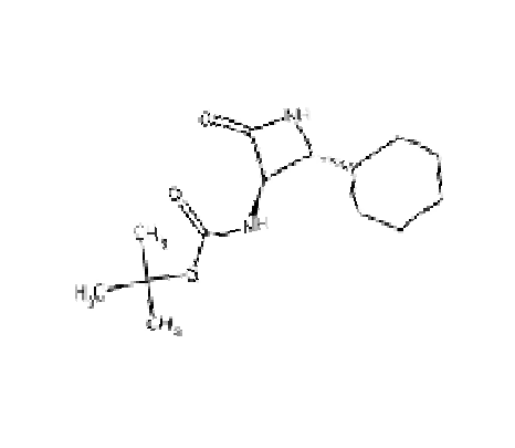 CC(C)(C)OC(=O)N[C@H]1C(=O)N[C@@H]1C1CCCCC1